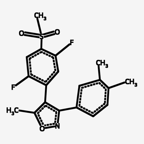 Cc1ccc(-c2noc(C)c2-c2cc(F)c(S(C)(=O)=O)cc2F)cc1C